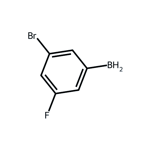 Bc1cc(F)cc(Br)c1